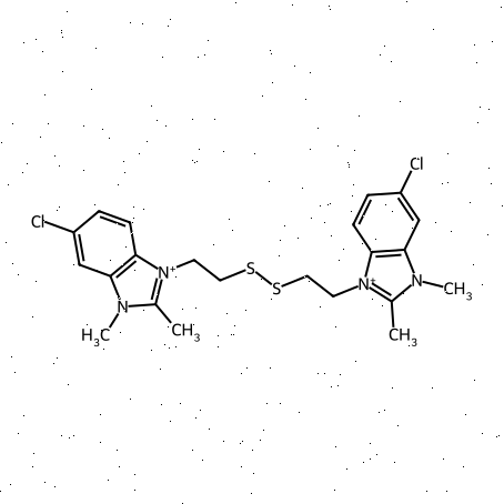 Cc1n(C)c2cc(Cl)ccc2[n+]1CCSSCC[n+]1c(C)n(C)c2cc(Cl)ccc21